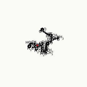 CC[C@H](C)[C@@H]([C@@H](CC(=O)N1CCC[C@H]1[C@H](OC)[C@@H](C)C(=O)N[C@H](C)[C@@H](O)c1ccccc1)OC)N(C)C(=O)C(NC(=O)[C@H](C(C)C)N(C)C(=O)OCc1ccc(NC(=O)[C@H](CCCNC(N)=O)NC(=O)[C@@H](NC(=O)CCCCCN2C(=O)C=CC2=O)C(C)C)cc1)C(C)C